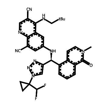 Cn1ccc2c([C@H](Nc3cc(C#N)c4ncc(C#N)c(NCC(C)(C)C)c4c3)c3cn(C4(C(F)F)CC4)nn3)cccc2c1=O